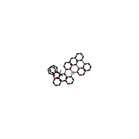 CC1(C)c2ccccc2-c2cccc(-c3cccc(N(c4ccccc4-c4cccc5cccc(-c6ccccc6)c45)c4ccccc4-c4cccc5sc6ccccc6c45)c3)c21